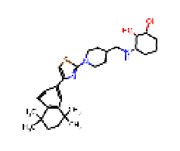 CC1(C)CCC(C)(C)c2cc(-c3csc(N4CCC(CN[C@H]5CCC[C@H](O)[C@@H]5O)CC4)n3)ccc21